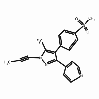 CC#Cn1nc(-c2ccncc2)c(-c2ccc(S(C)(=O)=O)cc2)c1C(F)(F)F